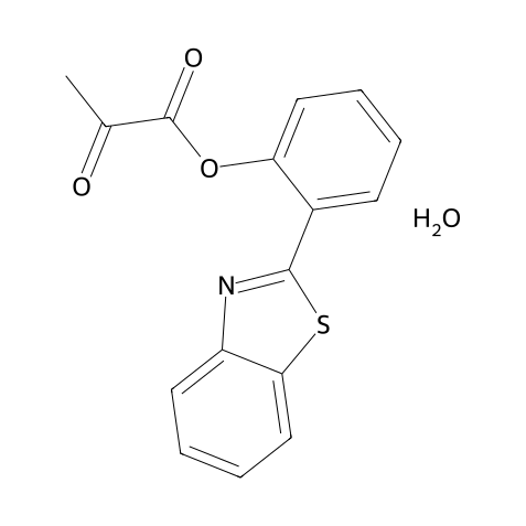 CC(=O)C(=O)Oc1ccccc1-c1nc2ccccc2s1.O